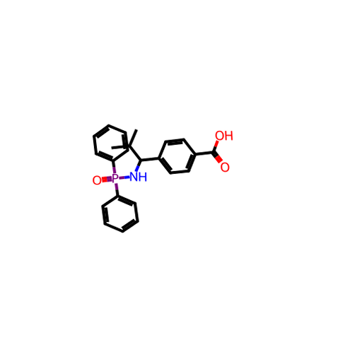 CC(C)C(NP(=O)(c1ccccc1)c1ccccc1)c1ccc(C(=O)O)cc1